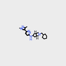 Cc1nn(C)cc1-c1ccc(NC2C[C@@H]3CN(CC4CCCCC4)C[C@@H]3C2)nn1